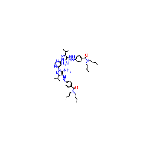 CCCCN(CCCC)C(=O)c1ccc(/N=N/c2c(C(C)C)nn(-c3cc(-n4nc(C(C)C)c(NNc5ccc(C(=O)N(CCCC)CCCC)cc5)c4N)ncn3)c2N)cc1